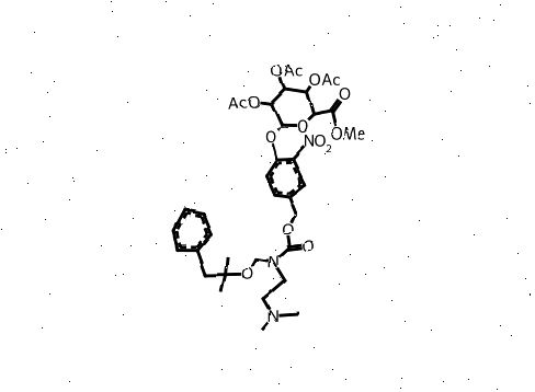 COC(=O)C1O[C@H](Oc2ccc(COC(=O)N(CCN(C)C)COC(C)(C)Cc3ccccc3)cc2[N+](=O)[O-])C(OC(C)=O)C(OC(C)=O)C1OC(C)=O